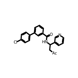 CC(=O)CC(NC(=O)c1cccc(-c2ccc(Cl)cc2)c1)c1cccnc1